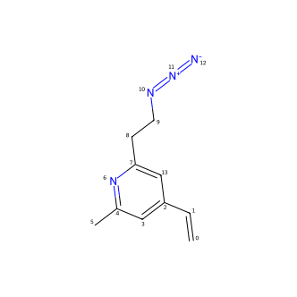 C=Cc1cc(C)nc(CCN=[N+]=[N-])c1